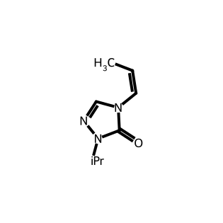 C/C=C\n1cnn(C(C)C)c1=O